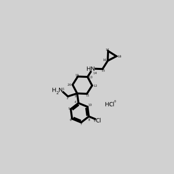 Cl.NCC1(c2cccc(Cl)c2)CCC(NCC2CC2)CC1